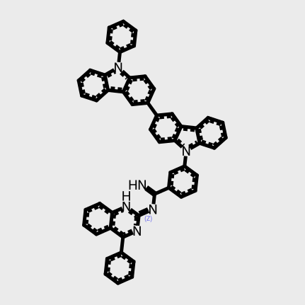 N=C(/N=c1/nc(-c2ccccc2)c2ccccc2[nH]1)c1cccc(-n2c3ccccc3c3cc(-c4ccc5c(c4)c4ccccc4n5-c4ccccc4)ccc32)c1